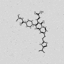 CC(C)c1csc(CCc2ccn3c(=O)c(C=CC(=O)O)c(N4CCN(C(=O)CN(C)C)CC4)nc3c2)n1